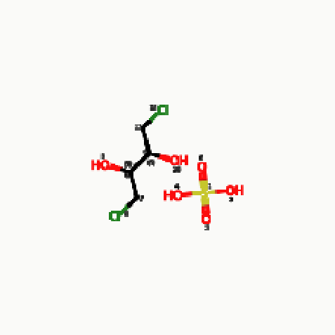 O=S(=O)(O)O.O[C@H](CCl)[C@H](O)CCl